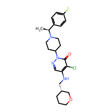 C[C@@H](c1ccc(F)cc1)N1CCC(n2ncc(NC[C@H]3CCCOC3)c(Cl)c2=O)CC1